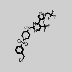 O=S(=O)(c1cccc(CBr)c1)N1CCC(Nc2ncc(C(F)(F)F)c(-c3cnn(CC(F)(F)F)c3)n2)CC1